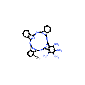 Cc1cccc2c1-c1nc-2nc2[nH]c(nc3nc(nc4[nH]c(n1)c1c(N)c(N)c(N)c(N)c41)-c1ccccc1-3)c1ccccc21